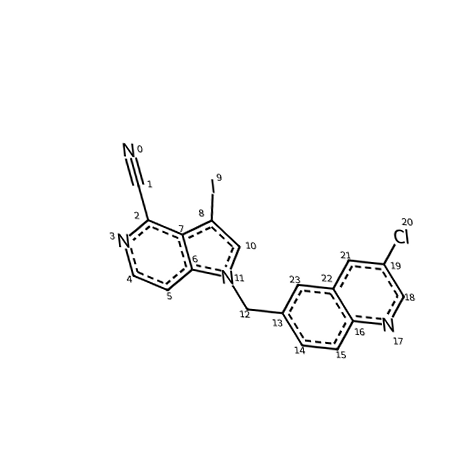 N#Cc1nccc2c1c(I)cn2Cc1ccc2ncc(Cl)cc2c1